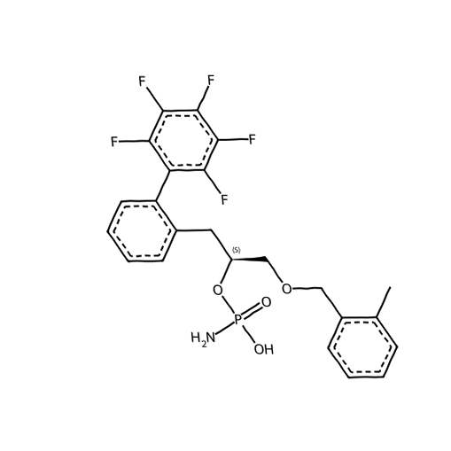 Cc1ccccc1COC[C@H](Cc1ccccc1-c1c(F)c(F)c(F)c(F)c1F)OP(N)(=O)O